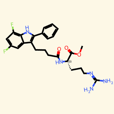 COC(=O)[C@H](CCCN=C(N)N)NC(=O)CCCc1c(-c2ccccc2)[nH]c2c(F)cc(F)cc12